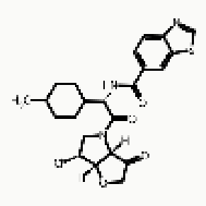 CC1CCC([C@H](NC(=O)c2ccc3ncsc3c2)C(=O)N2C[C@H](Cl)[C@H]3OCC(=O)[C@H]32)CC1